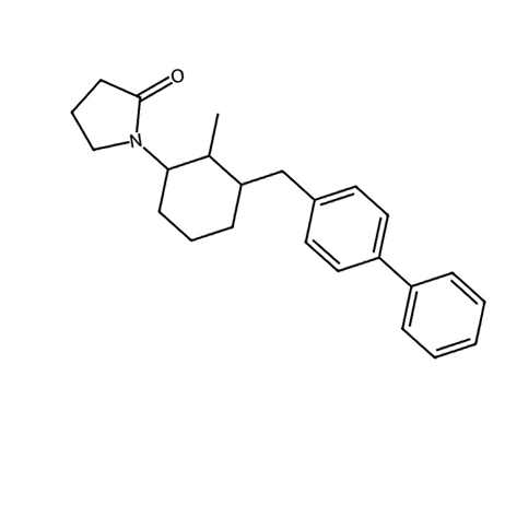 CC1C(Cc2ccc(-c3ccccc3)cc2)CCCC1N1CCCC1=O